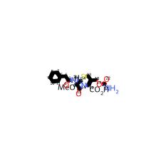 COC1(NC(=O)Cc2ccccc2)C(=O)N2C(C(=O)O)=C(COC(N)=O)CS[C@H]21